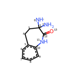 [NH]C1(N)CCc2ccccc2NC1=O